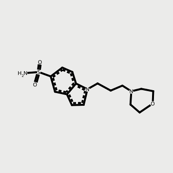 NS(=O)(=O)c1ccc2c(ccn2CCCN2CCOCC2)c1